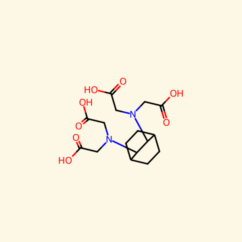 O=C(O)CN(CC(=O)O)C1C2CCC(CC2)C1N(CC(=O)O)CC(=O)O